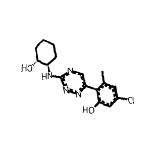 Cc1cc(Cl)cc(O)c1-c1cnc(N[C@@H]2CCCC[C@H]2O)nn1